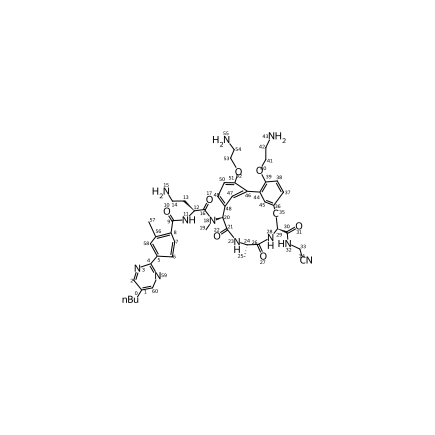 CCCCc1cnc(-c2ccc(C(=O)N[C@@H](CCN)C(=O)N(C)[C@@H]3C(=O)N[C@@H](C)C(=O)N[C@H](C(=O)NCC#N)Cc4ccc(OCCN)c(c4)-c4cc3ccc4OCCN)c(C)c2)nc1